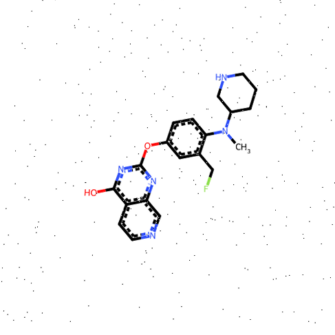 CN(c1ccc(Oc2nc(O)c3ccncc3n2)cc1CF)C1CCCNC1